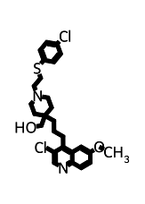 COc1ccc2ncc(Cl)c(CCCC3(CO)CCN(CCSc4ccc(Cl)cc4)CC3)c2c1